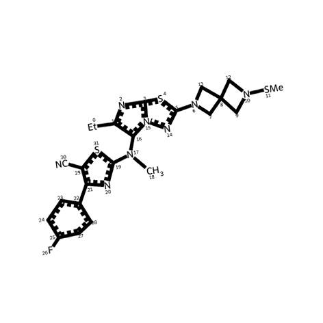 CCc1nc2sc(N3CC4(CN(SC)C4)C3)nn2c1N(C)c1nc(-c2ccc(F)cc2)c(C#N)s1